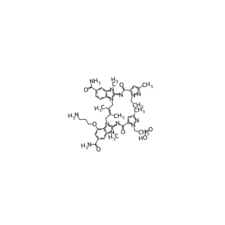 CCn1nc(C)cc1C(=O)/N=c1\n(C)c2cc(C(N)=O)ccc2n1C/C(C)=C(\C)Cn1/c(=N/C(=O)c2cc(C)nn2CC)n(C)c2cc(C(N)=O)cc(OCCCN)c21.O=CO